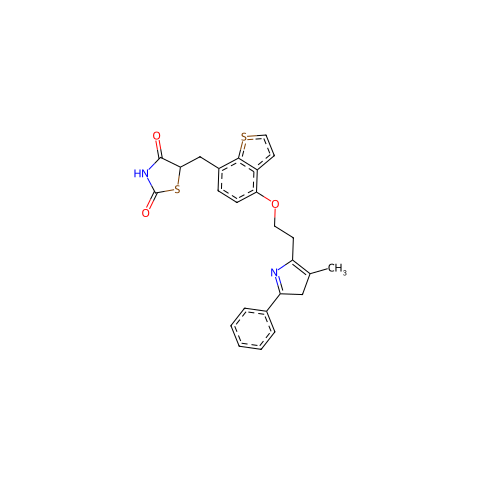 CC1=C(CCOc2ccc(CC3SC(=O)NC3=O)c3sccc23)N=C(c2ccccc2)C1